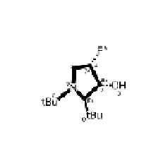 CC(C)(C)[C@@H]1[C@@H](O)[C@@H](F)CN1C(C)(C)C